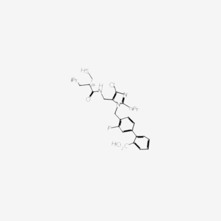 CCCc1nc(Cl)c(CNC(=O)[C@@H](CS)CC(C)C)n1Cc1ccc(-c2ccccc2C(=O)O)cc1F